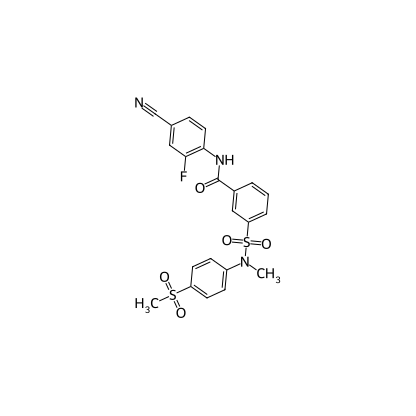 CN(c1ccc(S(C)(=O)=O)cc1)S(=O)(=O)c1cccc(C(=O)Nc2ccc(C#N)cc2F)c1